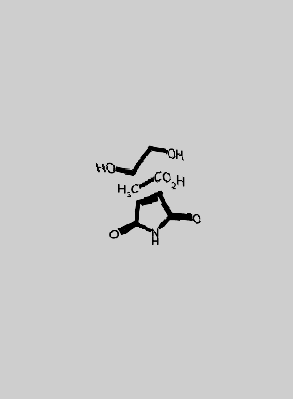 CC(=O)O.O=C1C=CC(=O)N1.OCCO